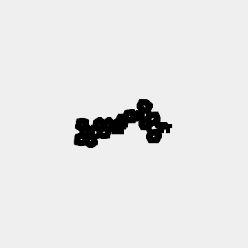 CC(C)c1ccc(-c2ccccc2N(c2ccc(-c3ccccc3)cc2)c2ccc3cc4c(cc3c2)oc2cc3cc(N(c5ccccc5-c5ccccc5)c5ccccc5-c5ccc(C(C)C)cc5)ccc3cc24)cc1